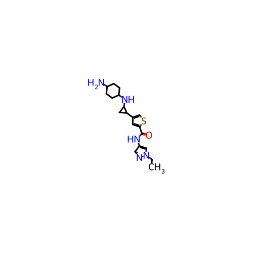 CCn1cc(NC(=O)c2cc(C3CC3NC3CCC(N)CC3)cs2)cn1